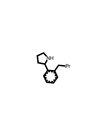 CC(C)Cc1ccccc1C1CCCN1